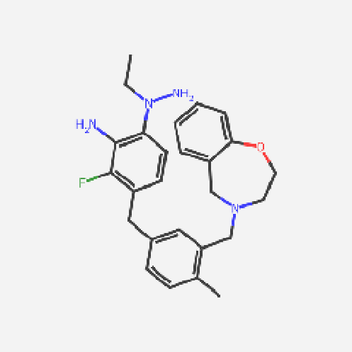 CCN(N)c1ccc(Cc2ccc(C)c(CN3CCOc4ccccc4C3)c2)c(F)c1N